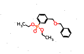 CCOP(=O)(OCC)c1cccc(COCc2ccccc2)c1